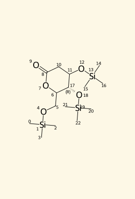 C[Si](C)(C)OCC1OC(=O)CC(O[Si](C)(C)C)[C@@H]1O[Si](C)(C)C